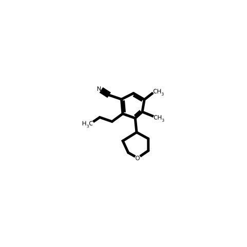 CCCc1c(C#N)cc(C)c(C)c1C1CCOCC1